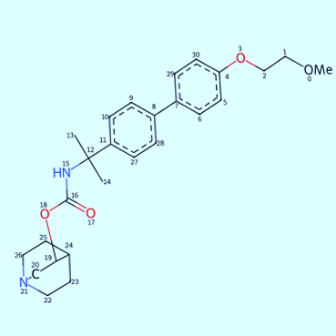 COCCOc1ccc(-c2ccc(C(C)(C)NC(=O)OC3CN4CCC3CC4)cc2)cc1